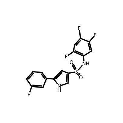 O=S(=O)(Nc1cc(F)c(F)cc1F)c1c[nH]c(-c2cccc(F)c2)c1